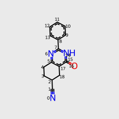 N#CC1CCc2nc(-c3ccccc3)[nH]c(=O)c2C1